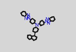 c1ccc2c(-c3ccc(N(c4ccc(-n5nc6ccccc6n5)cc4)c4ccc(-n5nc6ccccc6n5)cc4)cc3)cccc2c1